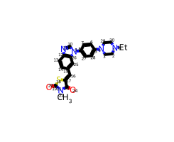 CCN1CCN(c2ccc(-n3cnc4ccc(/C=C5\SC(=O)N(C)C5=O)cc43)cc2)CC1